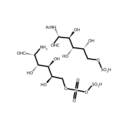 CC(=O)N[C@@H](C=O)[C@@H](O)[C@@H](O)[C@H](O)COS(=O)(=O)O.N[C@@H](C=O)[C@@H](O)[C@@H](O)[C@H](O)COS(=O)(=O)OS(=O)(=O)O